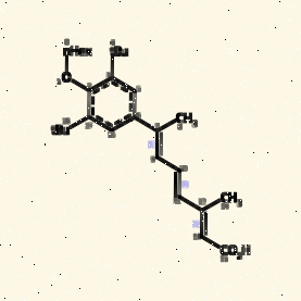 CCCCCCOc1c(C(C)(C)C)cc(/C(C)=C/C=C/C(C)=C/C(=O)O)cc1C(C)(C)C